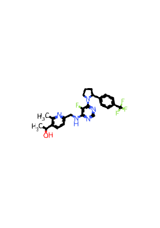 Cc1nc(CNc2ncnc(N3CCCC3c3ccc(C(F)(F)F)cc3)c2F)ccc1C(C)O